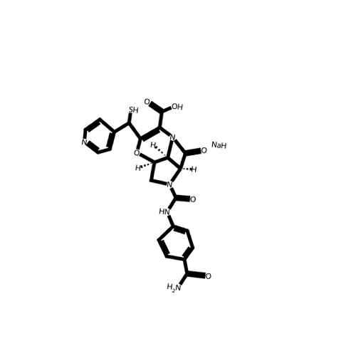 NC(=O)c1ccc(NC(=O)N2C[C@H]3OC(C(S)c4ccncc4)=C(C(=O)O)N4C(=O)[C@@H]2[C@@H]34)cc1.[NaH]